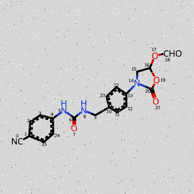 N#Cc1ccc(NC(=O)NCc2ccc(N3CC(OC=O)OC3=O)cc2)cc1